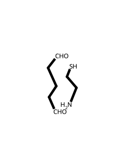 NCCS.O=CCCCC=O